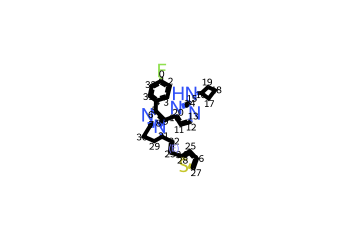 Fc1ccc(-c2nc3n(c2-c2ccnc(NC4CCC4)n2)C(/C=C/c2cccs2)CC3)cc1